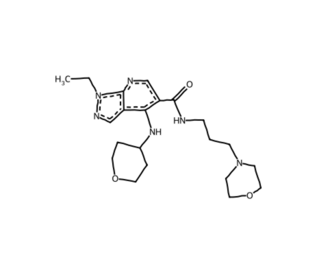 CCn1ncc2c(NC3CCOCC3)c(C(=O)NCCCN3CCOCC3)cnc21